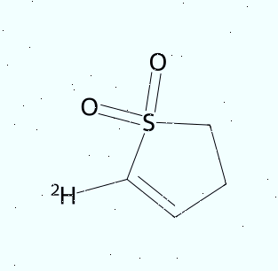 [2H]C1=CCCS1(=O)=O